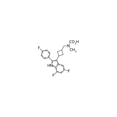 CN(CC1CC(c2c(-c3ccc(F)cc3)[nH]c3c(F)cc(F)cc23)C1)C(=O)O